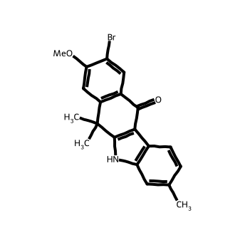 COc1cc2c(cc1Br)C(=O)c1c([nH]c3cc(C)ccc13)C2(C)C